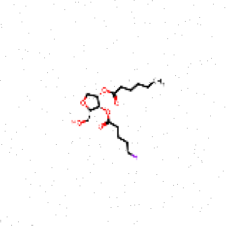 CCCCCC(=O)O[C@H]1CO[C@@H](CO)[C@@H]1OC(=O)CCCCI